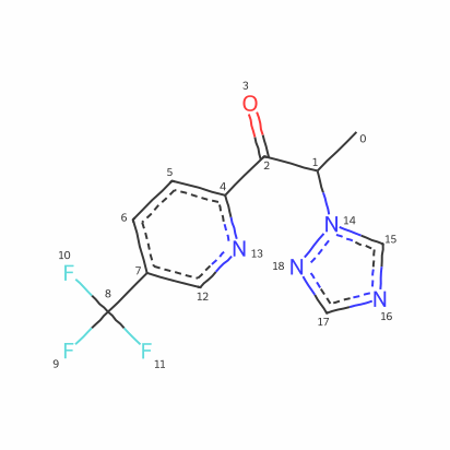 CC(C(=O)c1ccc(C(F)(F)F)cn1)n1cncn1